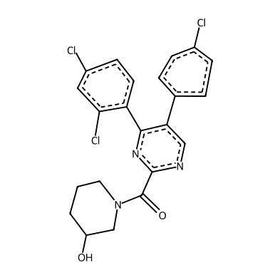 O=C(c1ncc(-c2ccc(Cl)cc2)c(-c2ccc(Cl)cc2Cl)n1)N1CCCC(O)C1